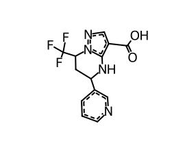 O=C(O)c1cnn2c1NC(c1cccnc1)CC2C(F)(F)F